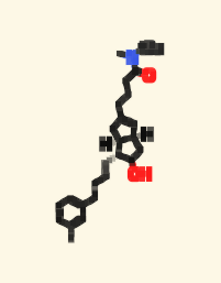 Cc1cccc(CC/C=C/[C@@H]2[C@H]3CC(CCCC(=O)N(C)C(C)(C)C)=C[C@H]3C[C@H]2O)c1